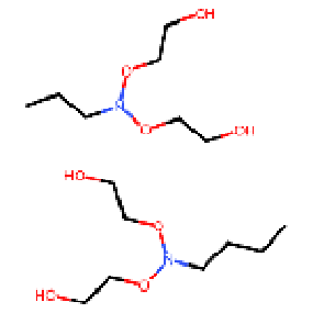 CCCCN(OCCO)OCCO.CCCN(OCCO)OCCO